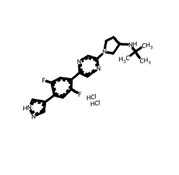 CC(C)(C)NC1CCN(c2cnc(-c3cc(F)c(-c4cn[nH]c4)cc3F)cn2)C1.Cl.Cl